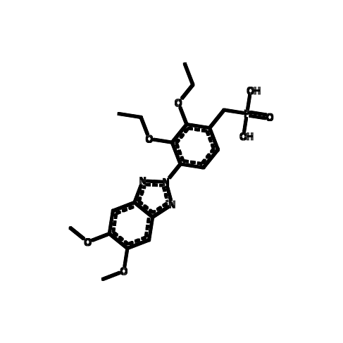 CCOc1c(CP(=O)(O)O)ccc(-n2nc3cc(OC)c(OC)cc3n2)c1OCC